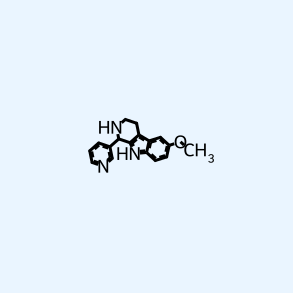 COc1ccc2[nH]c3c(c2c1)CCNC3c1cccnc1